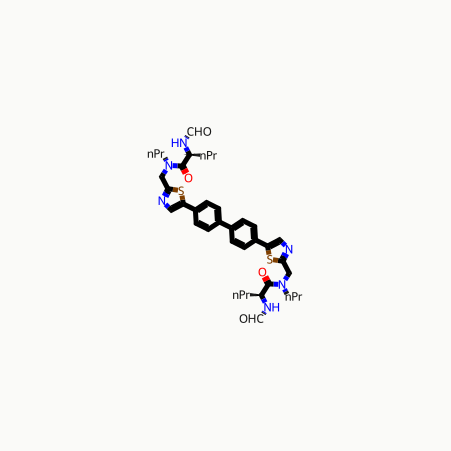 CCC[C@H](NC=O)C(=O)N(CCC)Cc1ncc(-c2ccc(-c3ccc(-c4cnc(CN(CCC)C(=O)[C@H](CCC)NC=O)s4)cc3)cc2)s1